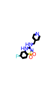 O=S1(=O)N=C(NCc2ccncc2)Nc2cc(F)ccc21